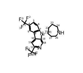 FC(F)(F)c1ccc2c(c1)c1cc(C(F)(F)F)ncc1n2[C@@H]1CCCNCC1